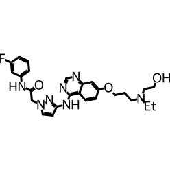 CCN(CCO)CCCOc1ccc2c(Nc3ccn(CC(=O)Nc4cccc(F)c4)n3)ncnc2c1